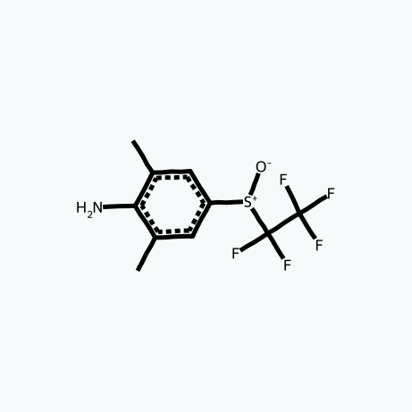 Cc1cc([S+]([O-])C(F)(F)C(F)(F)F)cc(C)c1N